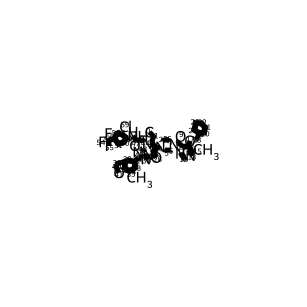 CCc1c(N2CCN(C(=O)c3ncnc(C)c3OCc3ccccc3)CC2)c(=O)n2nc(-c3cc(C)c4c(c3)CCO4)nc2n1CC(=O)Nc1ccc(C(F)(F)F)cc1Cl